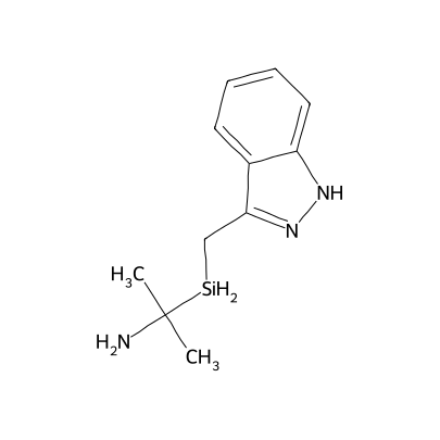 CC(C)(N)[SiH2]Cc1n[nH]c2ccccc12